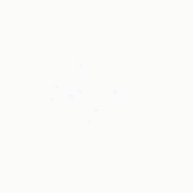 NC(=O)c1nn(CC(=O)N2[C@@H]3C[C@@H]3C[C@H]2C(=O)NC[C@@H]2CC2(Cl)Cl)c2cnccc12